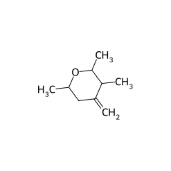 C=C1CC(C)OC(C)C1C